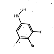 Fc1cc(NS)cc(F)c1Br